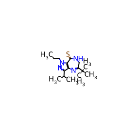 CCCn1nc(C(C)C)c2c1C(=S)NCC(C(C)(C)C)=N2